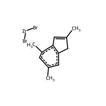 CC1=Cc2c(C)cc(C)cc2[CH]1.[Br][Zr][Br]